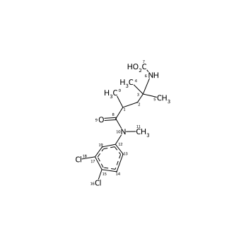 CC(CC(C)(C)NC(=O)O)C(=O)N(C)c1ccc(Cl)c(Cl)c1